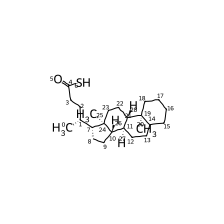 C[C@H](CCC(=O)S)[C@H]1CC[C@H]2[C@@H]3CCC4CCCC[C@]4(C)[C@H]3CC[C@]12C